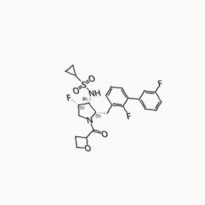 O=C(C1CCO1)N1C[C@H](F)[C@H](NS(=O)(=O)C2CC2)[C@@H]1Cc1cccc(-c2cccc(F)c2)c1F